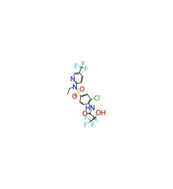 CCN(c1ccc(C(F)(F)F)cn1)S(=O)(=O)c1ccc(NC(=O)[C@@](C)(O)C(F)(F)F)c(Cl)c1